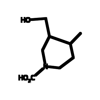 CC1CCN(C(=O)O)CC1CO